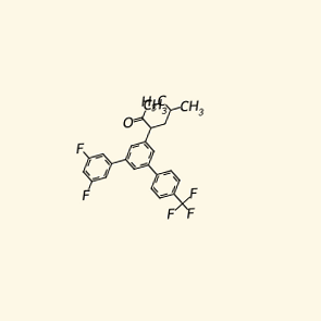 CC(=O)C(CC(C)C)c1cc(-c2ccc(C(F)(F)F)cc2)cc(-c2cc(F)cc(F)c2)c1